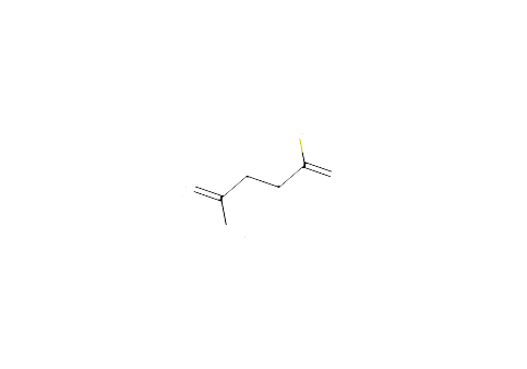 C=C(C)CCC(=C)S